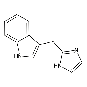 c1ccc2c(Cc3ncc[nH]3)c[nH]c2c1